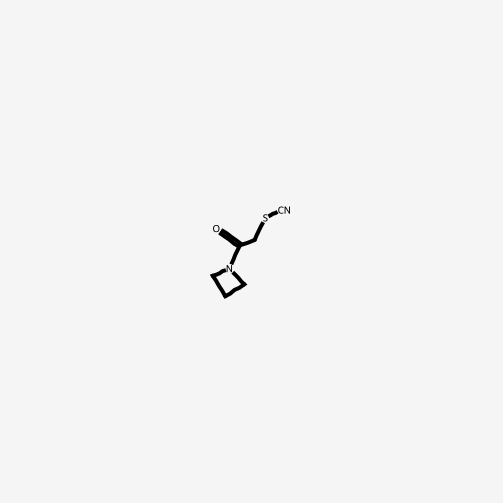 N#CSCC(=O)N1CCC1